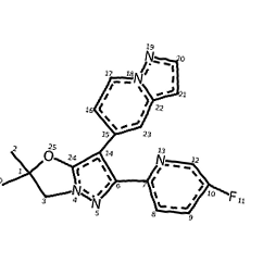 CC1(C)Cn2nc(-c3ccc(F)cn3)c(-c3ccn4nccc4c3)c2O1